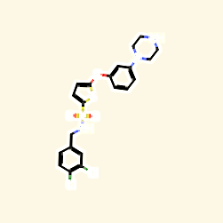 O=S(=O)(NCc1ccc(Cl)c(Cl)c1)c1ccc(Oc2cccc(N3CCNCC3)c2)s1